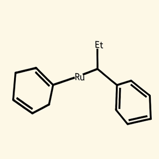 CC[CH]([Ru][C]1=CCC=CC1)c1ccccc1